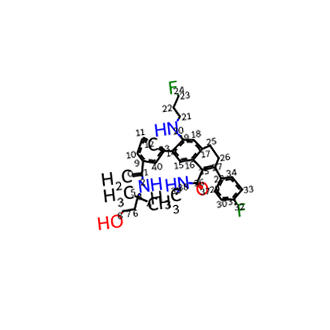 C=C(NC(C)(C)CCO)c1cccc(-c2cc3c(cc2NCCCF)CCC(c2ccc(F)cc2)=C3C(=O)NC)c1